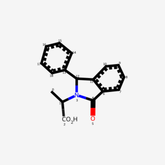 CC(C(=O)O)N1C(=O)c2ccccc2C1c1ccccc1